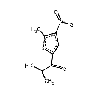 Cc1sc(C(=O)C(C)C)cc1[N+](=O)[O-]